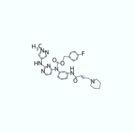 Cn1cc(Nc2nccc(N(C(=O)OCc3ccc(F)cc3)c3cccc(NC(=O)/C=C/CN4CCCCC4)c3)n2)cn1